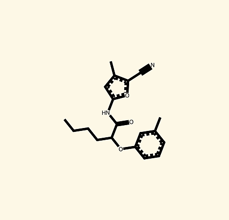 CCCCC(Oc1cccc(C)c1)C(=O)Nc1cc(C)c(C#N)o1